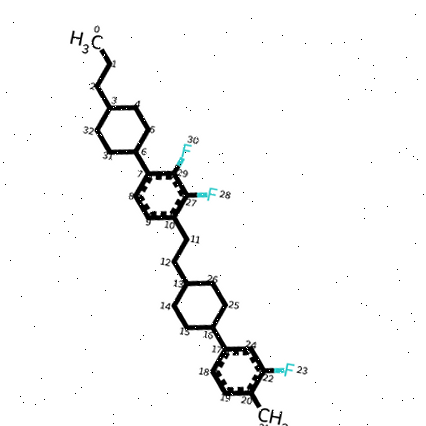 CCCC1CCC(c2ccc(CCC3CCC(c4ccc(C)c(F)c4)CC3)c(F)c2F)CC1